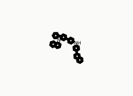 c1ccc2cc(-c3ccc(Nc4ccc(-c5ccc6c7ccccc7n(-c7cccc8ccccc78)c6c5)cc4)cc3)ccc2c1